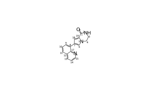 O=C1NCCn2cc(-c3cccc4cccnc34)cc21